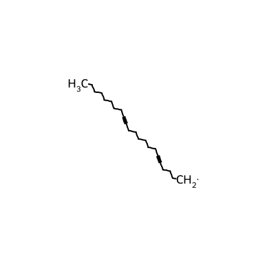 [CH2]CCCC#CCCCCCCC#CCCCCCCCC